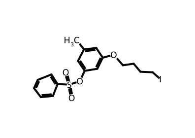 Cc1cc(OCCCCI)cc(OS(=O)(=O)c2ccccc2)c1